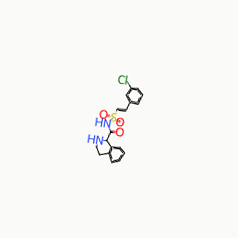 O=C(NS(=O)(=O)C=Cc1cccc(Cl)c1)C1NCCc2ccccc21